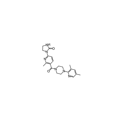 Cc1cnc(N2CCN(C(=O)c3ccc(N4CCNC4=O)nc3C)CC2)c(C)c1